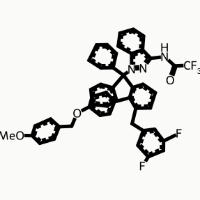 COc1ccc(COc2ccc(-c3c(Cc4cc(F)cc(F)c4)cccc3C(c3ccccc3)(c3ccccc3)n3nc(NC(=O)C(F)(F)F)c4ccccc43)cc2)cc1